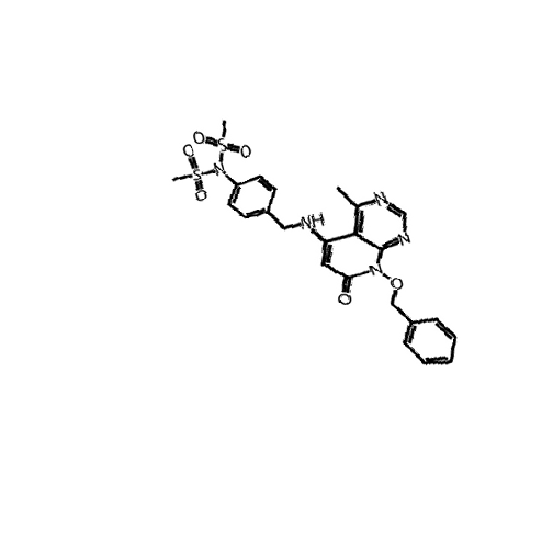 Cc1ncnc2c1c(NCc1ccc(N(S(C)(=O)=O)S(C)(=O)=O)cc1)cc(=O)n2OCc1ccccc1